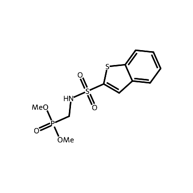 COP(=O)(CNS(=O)(=O)c1cc2ccccc2s1)OC